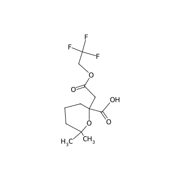 CC1(C)CCCC(CC(=O)OCC(F)(F)F)(C(=O)O)O1